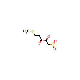 CSCCC(=O)C(=O)CP(=O)=O